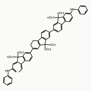 C=C(/C=C1\C(=C/C)c2ccc(C3=CC4=C(CC3)c3ccc(-c5ccc6c(c5)C(CCCCCCCC)(CCCCCCCC)c5cc(Nc7ccccc7)ccc5-6)cc3C4(CCCCCCCC)CCCCCCCC)cc2C1(CCCCCCCC)CCCCCCCC)Nc1ccccc1